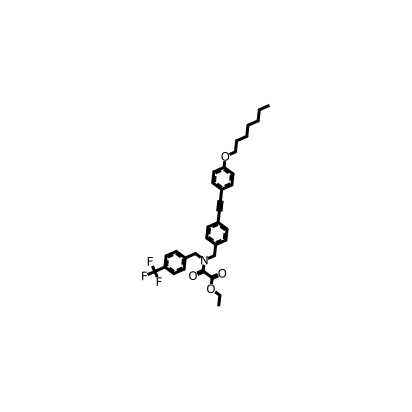 CCCCCCCOc1ccc(C#Cc2ccc(CN(Cc3ccc(C(F)(F)F)cc3)C(=O)C(=O)OCC)cc2)cc1